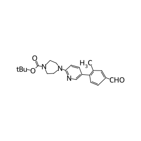 Cc1cc(C=O)ccc1-c1ccc(N2CCN(C(=O)OC(C)(C)C)CC2)nc1